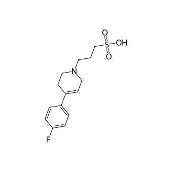 O=S(=O)(O)CCCN1CC=C(c2ccc(F)cc2)CC1